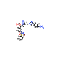 CC(C)(CCn1cnc(-c2ccc(N)cc2)c1)NCC(O)c1cccc(NS(=O)(=O)c2ccccc2)c1